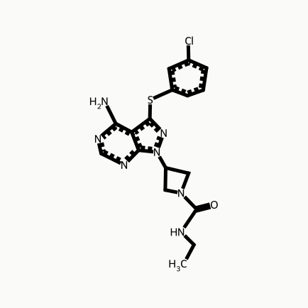 CCNC(=O)N1CC(n2nc(Sc3cccc(Cl)c3)c3c(N)ncnc32)C1